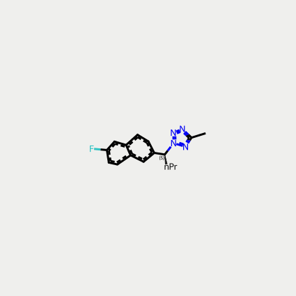 [CH2]CC[C@@H](c1ccc2cc(F)ccc2c1)n1nnc(C)n1